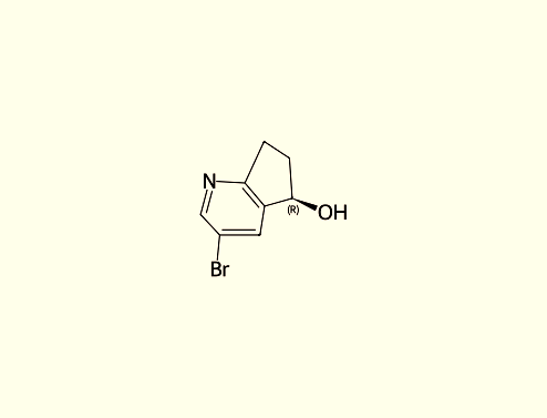 O[C@@H]1CCc2ncc(Br)cc21